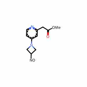 COC(=O)Cc1cc(N2CC(N=O)C2)ccn1